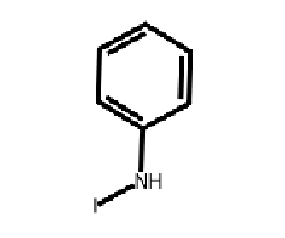 INc1ccccc1